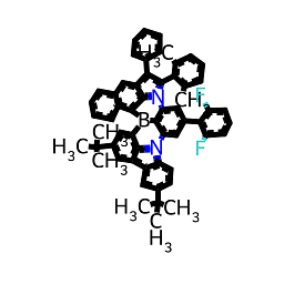 Cc1cccc(C)c1-c1c(-c2ccccc2)c2cc3ccccc3c3c2n1-c1cc(-c2c(F)cccc2F)cc2c1B3c1cc(C(C)(C)C)cc3c4cc(C(C)(C)C)ccc4n-2c13